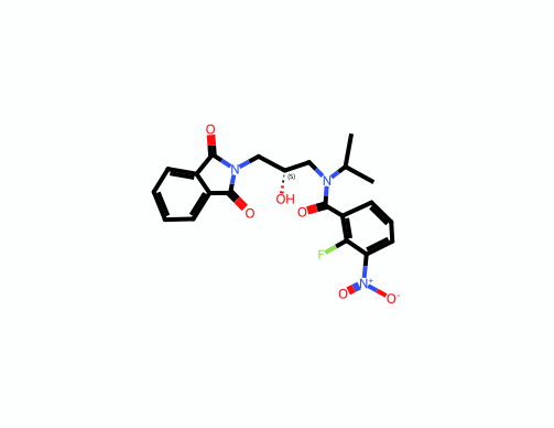 CC(C)N(C[C@H](O)CN1C(=O)c2ccccc2C1=O)C(=O)c1cccc([N+](=O)[O-])c1F